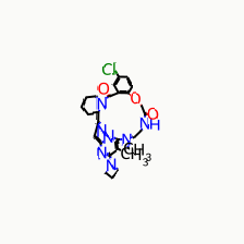 Cc1c(N2CCC2)nc2cc3nn2c1N(C)CCNC(=O)COc1ccc(Cl)cc1C(=O)N1CCCCC31